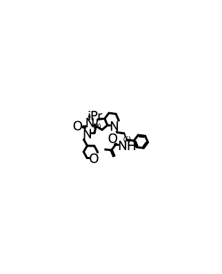 C=C(C)C(=O)N[C@@H](CCN1CCCC2C[C@@]3(CC21)CN(CC1CCOCC1)C(=O)N3C(C)C)c1ccccc1